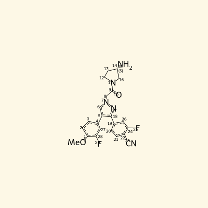 COc1ccc(-c2cn(CC(=O)N3CC[C@H](N)C3)nc2-c2ccc(C#N)c(F)c2)cc1F